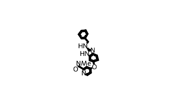 CNC(=O)c1cc(Oc2ccc3nc(NCc4ccccc4)[nH]c3c2)ccn1